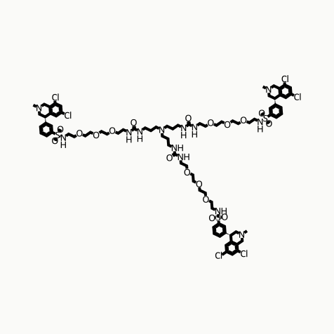 CN1Cc2c(Cl)cc(Cl)cc2[C@H](c2cccc(S(=O)(=O)NCCOCCOCCOCCNC(=O)NCCCN(CCCNC(=O)NCCOCCOCCOCCNS(=O)(=O)c3cccc([C@@H]4CN(C)Cc5c(Cl)cc(Cl)cc54)c3)CCCNC(=O)NCCOCCOCCOCCNS(=O)(=O)c3cccc([C@@H]4CN(C)Cc5c(Cl)cc(Cl)cc54)c3)c2)C1